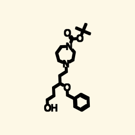 CC(C)(C)OC(=O)N1CCCN(CCC(CCCO)OCc2ccccc2)CC1